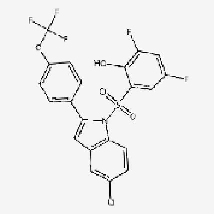 O=S(=O)(c1cc(F)cc(F)c1O)n1c(-c2ccc(OC(F)(F)F)cc2)cc2cc(Cl)ccc21